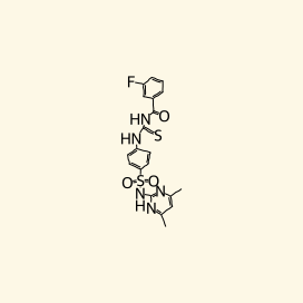 Cc1cc(C)nc(NS(=O)(=O)c2ccc(NC(=S)NC(=O)c3cccc(F)c3)cc2)n1